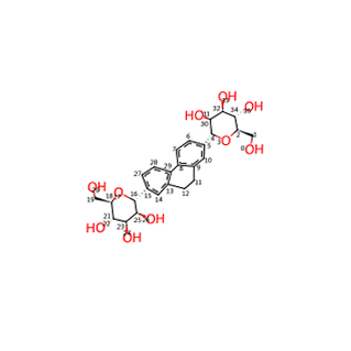 OC[C@H]1O[C@H](c2ccc3c(c2)CCc2cc([C@H]4O[C@H](CO)[C@@H](O)[C@H](O)[C@@H]4O)ccc2-3)[C@@H](O)[C@@H](O)[C@@H]1O